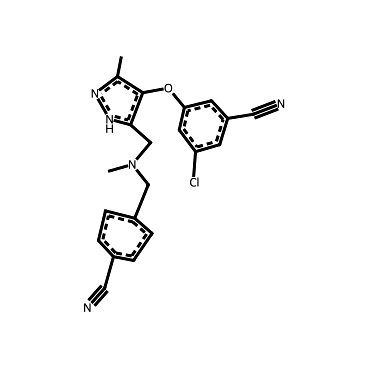 Cc1n[nH]c(CN(C)Cc2ccc(C#N)cc2)c1Oc1cc(Cl)cc(C#N)c1